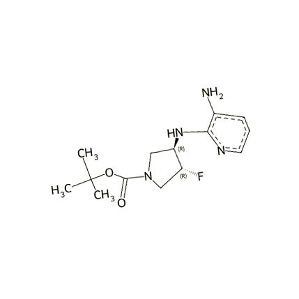 CC(C)(C)OC(=O)N1C[C@@H](F)[C@H](Nc2ncccc2N)C1